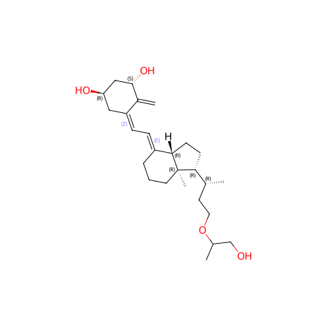 C=C1/C(=C\C=C2/CCC[C@]3(C)[C@@H]([C@H](C)CCOC(C)CO)CC[C@@H]23)C[C@@H](O)C[C@@H]1O